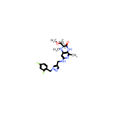 CO[C@H](C)[C@H]1C(=O)Nc2c(cc(NCc3cnn(Cc4ccc(F)cc4F)c3)nc2C)N1C